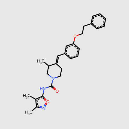 Cc1noc(NC(=O)N2CCC(=Cc3cccc(OCCc4ccccc4)c3)C(C)C2)c1C